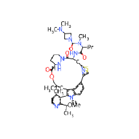 CCn1c(-c2cccnc2[C@H](C)OC)c2c3cc(ccc31)-c1csc(n1)C[C@H](NC(=O)[C@H](C(C)C)N(C)C(=O)N1CC(N(C)C)C1)C(=O)N1CCC[C@H](N1)C(=O)OCC(C)(C)C2